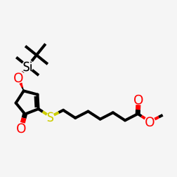 COC(=O)CCCCCCSC1=C[C@H](O[Si](C)(C)C(C)(C)C)CC1=O